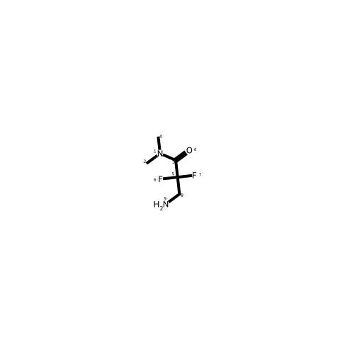 CN(C)C(=O)C(F)(F)CN